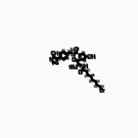 Cc1ncsc1-c1ccc(CNC(=O)[C@@H]2C[C@@H](O)CN2C(=O)[C@@H](NC(=O)CCCCCCCBr)C(C)(C)C)cc1